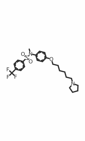 CN(c1ccc(OCCCCCCN2CCCC2)cc1)S(=O)(=O)c1ccc(C(F)(F)F)cc1